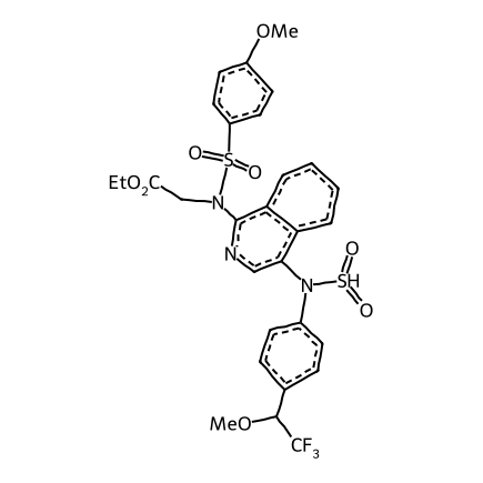 CCOC(=O)CN(c1ncc(N(c2ccc(C(OC)C(F)(F)F)cc2)[SH](=O)=O)c2ccccc12)S(=O)(=O)c1ccc(OC)cc1